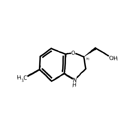 Cc1ccc2c(c1)NC[C@H](CO)O2